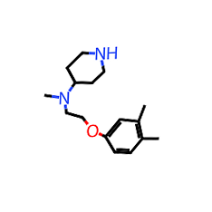 Cc1ccc(OCCN(C)C2CCNCC2)cc1C